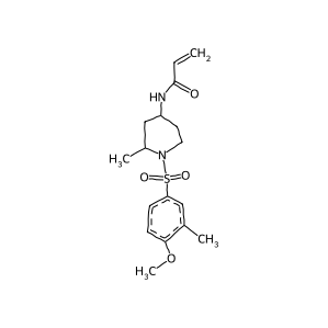 C=CC(=O)NC1CCN(S(=O)(=O)c2ccc(OC)c(C)c2)C(C)C1